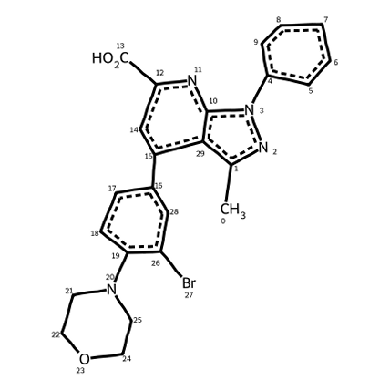 Cc1nn(-c2ccccc2)c2nc(C(=O)O)cc(-c3ccc(N4CCOCC4)c(Br)c3)c12